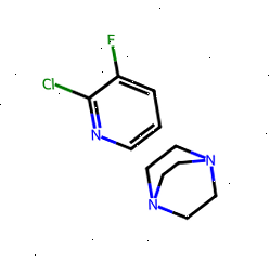 C1CN2CCN1CC2.Fc1cccnc1Cl